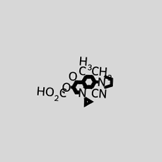 Cc1c(N2CCCC2)c(C#N)c2c(c1C)c(=O)c(OC(=O)O)cn2C1CC1